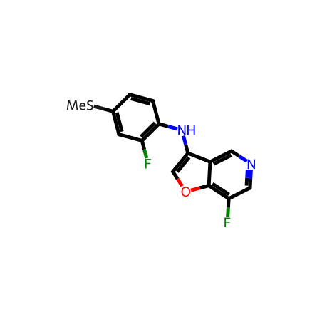 CSc1ccc(Nc2coc3c(F)cncc23)c(F)c1